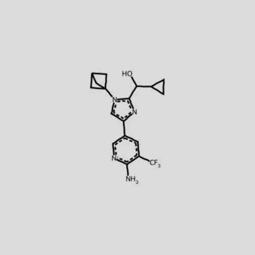 Nc1ncc(-c2cn(C34CC(C3)C4)c(C(O)C3CC3)n2)cc1C(F)(F)F